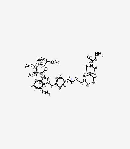 CC(=O)OC[C@H]1O[C@@H](n2cc(Cc3ccc(/C=C/CCN4CCCC5(CCN(C(=O)CN)CC5)C4)cc3)c3c(C)cccc32)[C@H](OC(C)=O)[C@@H](OC(C)=O)[C@@H]1OC(C)=O